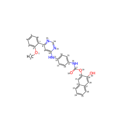 COc1ccccc1-c1cc(Nc2ccc(NC(=O)Oc3cc4ccccc4cc3O)cc2)ncn1